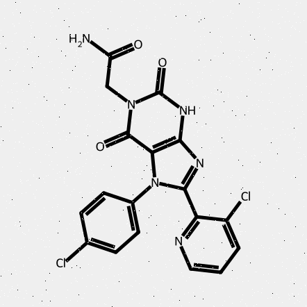 NC(=O)Cn1c(=O)[nH]c2nc(-c3ncccc3Cl)n(-c3ccc(Cl)cc3)c2c1=O